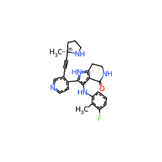 Cc1c(F)cccc1Nc1c(-c2ccncc2C#C[C@@]2(C)CCCN2)[nH]c2c1C(=O)NCC2